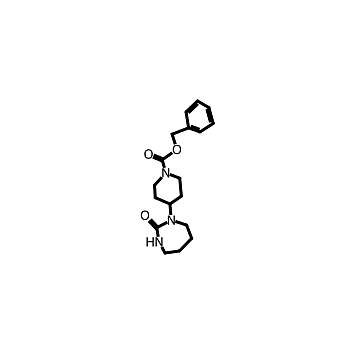 O=C(OCc1ccccc1)N1CCC(N2CCCCNC2=O)CC1